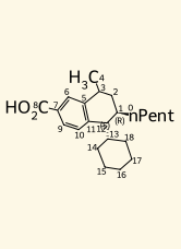 CCCCC[C@@H]1CC(C)c2cc(C(=O)O)ccc2[C@H]1C1CCCCC1